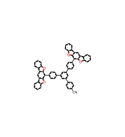 N#Cc1ccc(-c2cc(-c3ccc(-c4c5oc6ccccc6c5cc5c4oc4ccccc45)cc3)cc(-c3ccc(-c4c5oc6ccccc6c5cc5c4oc4ccccc45)cc3)c2)cc1